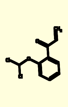 C=CC(=O)c1ccccc1OC(Cl)Cl